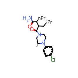 CCCC(C(N)=O)C(CC(C)C)C(=O)N1CCN(c2ccc(Cl)cc2)[C@H](C)C1